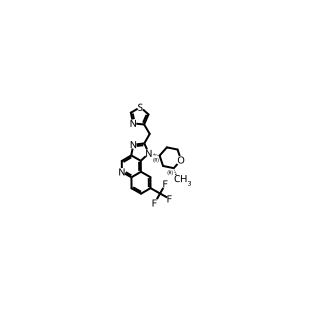 C[C@@H]1C[C@H](n2c(Cc3cscn3)nc3cnc4ccc(C(F)(F)F)cc4c32)CCO1